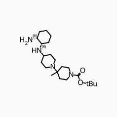 CC(C)(C)OC(=O)N1CCC(C)(N2CCC(N[C@@H]3CCCC[C@H]3N)CC2)CC1